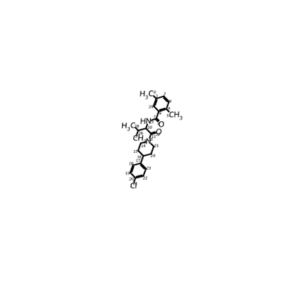 Cc1ccc(C)c(C(=O)NC(C(=O)N2CCC(c3ccc(Cl)cc3)CC2)C(C)C)c1